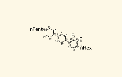 CCCCCCc1ccc(-c2ccc([C@H]3CC[C@H](CCCCC)CC3)cc2)c(F)c1F